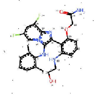 Cc1cccc(C)c1Nc1c(-c2c(NCCO)cccc2OCC(N)=O)nc2c(F)cc(F)cn12